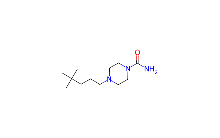 CC(C)(C)CCCN1CCN(C(N)=O)CC1